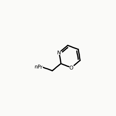 CCCCC1N=CC=CO1